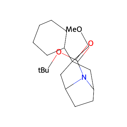 COCC1(C2CCCCC2)CC2CCC(C1)N2C(=O)OC(C)(C)C